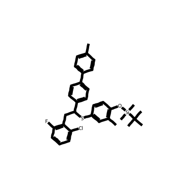 Cc1ccc(-c2ccc(C(Cc3c(F)cccc3Cl)Sc3ccc(O[Si](C)(C)C(C)(C)C)c(C)c3)cc2)cc1